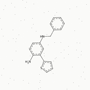 Nc1ccc(NCc2ccccc2)cc1-c1cccs1